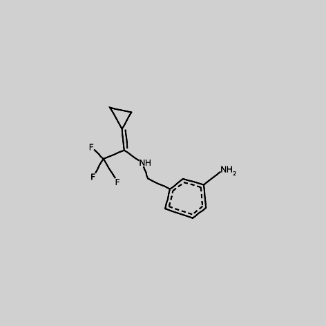 Nc1cccc(CNC(=C2CC2)C(F)(F)F)c1